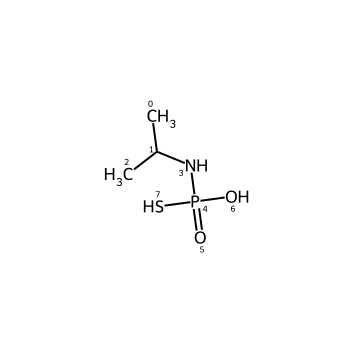 CC(C)NP(=O)(O)S